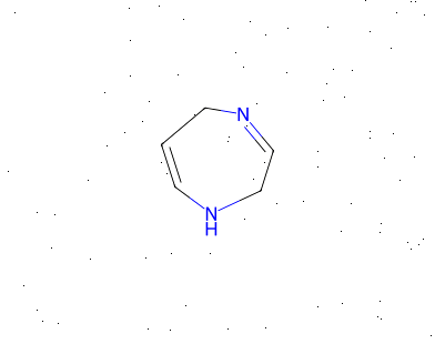 C1=CNCC=NC1